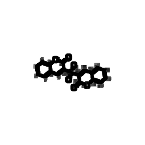 O=c1oc2ccccc2cc1S(=O)(=O)c1cc2ccccc2oc1=O